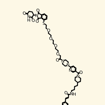 O=C(/C=C/c1cccnc1)NCCCCC1CCN(C(=O)c2ccc(N3CCN(C(=O)COCCOCCOCCOCCSc4cccc5c4C(=O)N(C4CCC(=O)NC4=O)C5=O)CC3)nc2)CC1